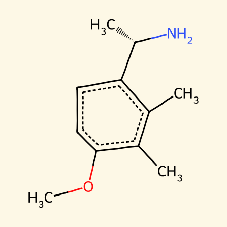 COc1ccc([C@H](C)N)c(C)c1C